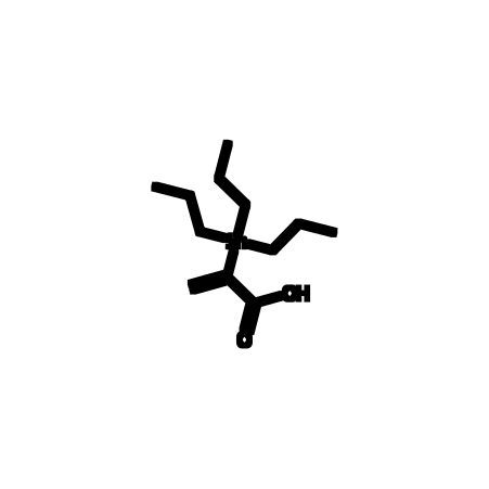 C=[C](C(=O)O)[Sn]([CH2]CC)([CH2]CC)[CH2]CC